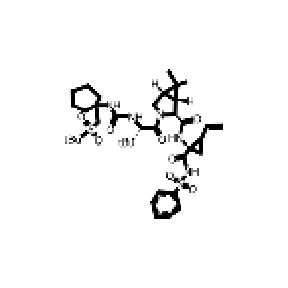 C=CC1C[C@]1(NC(=O)[C@@H]1[C@@H]2[C@H](CN1C(=O)[C@@H](NC(=O)NC1(CS(=O)(=O)C(C)(C)C)CCCCC1)C(C)(C)C)C2(C)C)C(=O)NS(=O)(=O)c1ccccc1